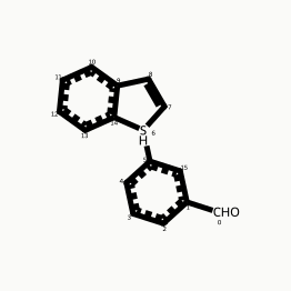 O=Cc1[c]ccc([SH]2C=Cc3ccccc32)c1